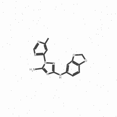 Cc1cc(-n2nc(Nc3ccc4c(c3)OCO4)nc2N)ncn1